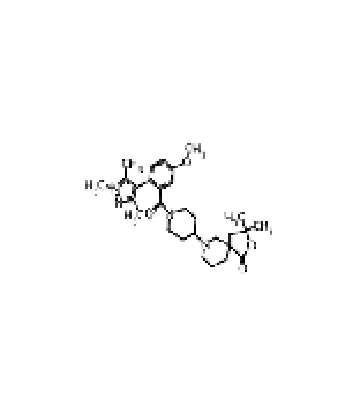 COc1ccc(-c2c(C)nn(C)c2C)c(C(=O)N2CCC(N3CCCC4(C3)CC(C)(C)OC4=O)CC2)c1